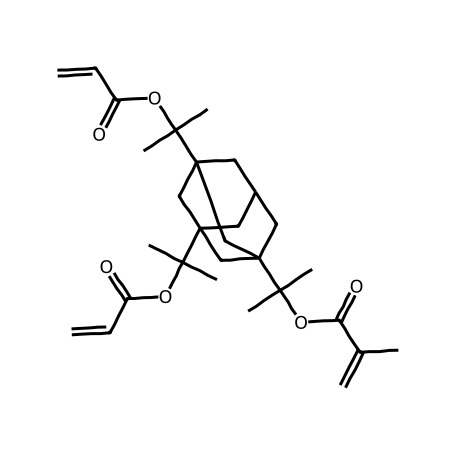 C=CC(=O)OC(C)(C)C12CC3CC(C(C)(C)OC(=O)C=C)(C1)CC(C(C)(C)OC(=O)C(=C)C)(C3)C2